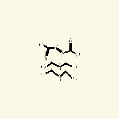 CCNCC.CCNCC.O=C(O)N=NC(=O)O